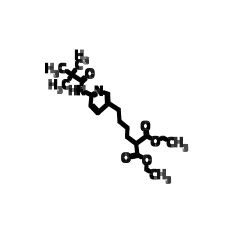 CCOC(=O)C(CCCCc1ccc(NC(=O)C(C)(C)C)nc1)C(=O)OCC